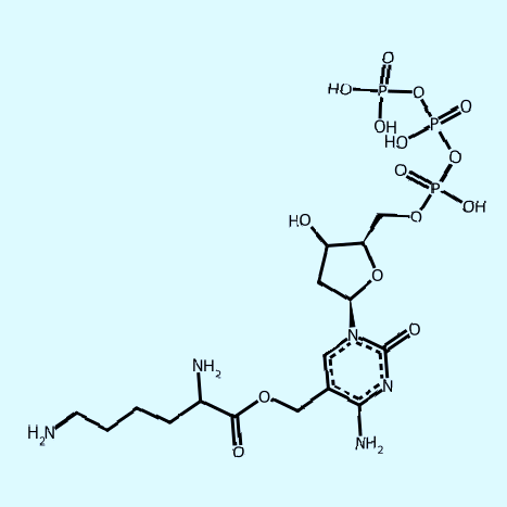 NCCCCC(N)C(=O)OCc1cn([C@H]2CC(O)[C@@H](COP(=O)(O)OP(=O)(O)OP(=O)(O)O)O2)c(=O)nc1N